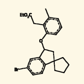 CCOC(=O)Cc1c(C)cccc1OC1CC2(CCCC2)c2ccc(Br)cc21